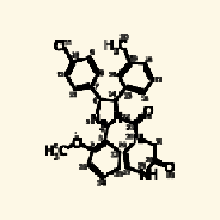 COC1=C(C2=NC(c3ccc(Cl)cc3)C(c3cccc(C)c3)N2C(=O)N2C=CNC(=O)C2)CCC=C1